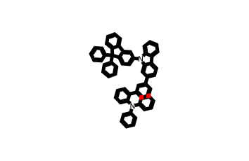 c1ccc(N(c2ccccc2)c2ccccc2-c2cccc(-c3ccc4c5ccccc5n(-c5ccc6c(c5)-c5ccccc5C6(c5ccccc5)c5ccccc5)c4c3)c2)cc1